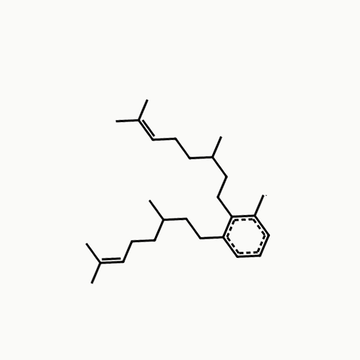 [CH2]c1cccc(CCC(C)CCC=C(C)C)c1CCC(C)CCC=C(C)C